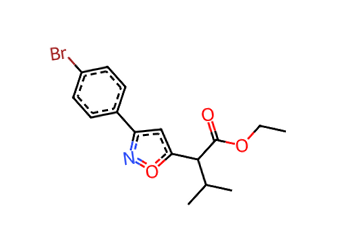 CCOC(=O)C(c1cc(-c2ccc(Br)cc2)no1)C(C)C